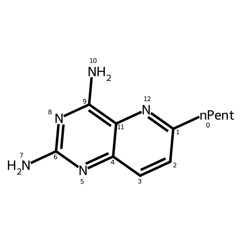 CCCCCc1ccc2nc(N)nc(N)c2n1